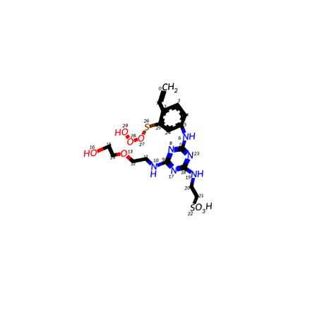 C=Cc1ccc(Nc2nc(NCCOCCO)nc(NCCS(=O)(=O)O)n2)cc1SOOO